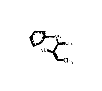 C=C(Nc1ccccc1)/C(C#N)=C\C